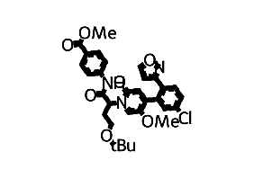 COC(=O)c1ccc(NC(=O)C(CCOC(C)(C)C)n2cc(OC)c(-c3cc(Cl)ccc3-c3ccon3)cc2=O)cc1